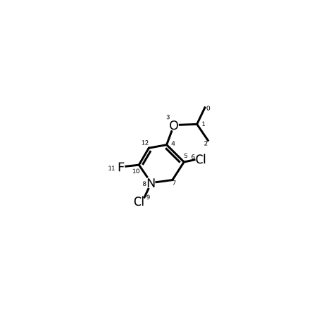 CC(C)OC1=C(Cl)CN(Cl)C(F)=C1